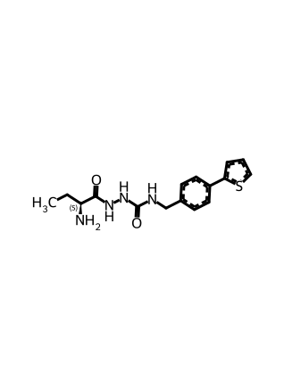 CC[C@H](N)C(=O)NNC(=O)NCc1ccc(-c2cccs2)cc1